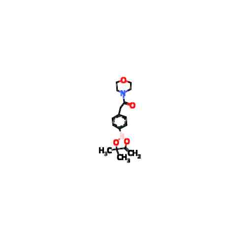 C=C1OB(c2ccc(CC(=O)N3CCOCC3)cc2)OC1(C)C